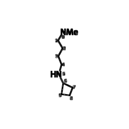 CNCCCCNC1CCC1